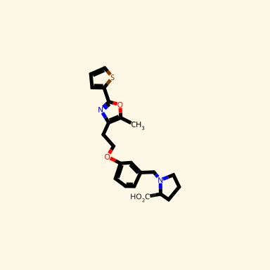 Cc1oc(-c2cccs2)nc1CCOc1cccc(CN2CCCC2C(=O)O)c1